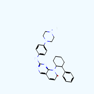 CN1CCN(c2ccc(Nc3ncc4ccc(=O)n(C5CCCCC5c5ccccc5)c4n3)cc2)CC1